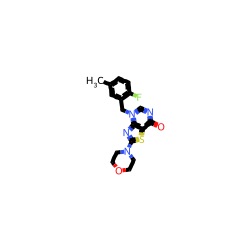 Cc1ccc(F)c(Cn2cnc(=O)c3sc(N4CCOCC4)nc32)c1